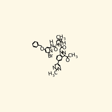 CC(=O)c1nn(CC(=O)N2[C@H](C(=O)Nc3cc(OCc4ccccc4)cc(Br)n3)C[C@@]3(C)C[C@@H]23)c2ccc(-c3cnc(C)nc3)cc12